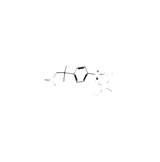 CN(C)CC(C)(C)c1ccc(S(N)(=O)=N[Si](C)(C)C(C)(C)C)cc1